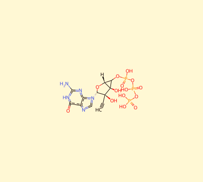 C#C[C@]1(O)[C@H](n2cnc3c(=O)[nH]c(N)nc32)O[C@@H]2C(OP(=O)(O)OP(=O)(O)OP(=O)(O)O)[C@@]21O